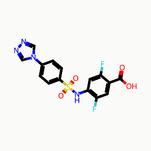 O=C(O)c1cc(F)c(NS(=O)(=O)c2ccc(-n3cnnc3)cc2)cc1F